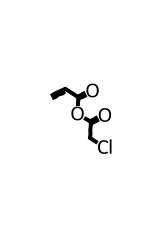 C=CC(=O)OC(=O)CCl